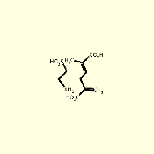 C=C(CC=C(C)C(=O)O)C(=O)O.NCCS(=O)(=O)O